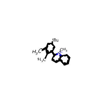 Cc1cc(C(C)(C)C)cc(-c2ccc3ccccc3[n+]2C)c1C